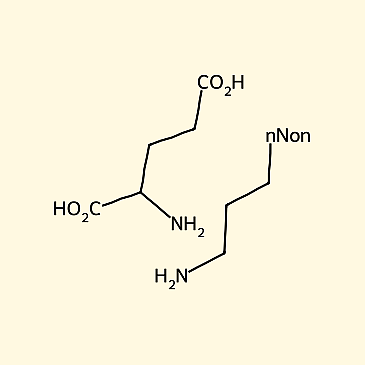 CCCCCCCCCCCCN.NC(CCC(=O)O)C(=O)O